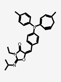 CCN1C(=O)/C(=C\c2ccc(N(C3=CC=C(C)CC#C3)c3ccc(C)cc3)cc2)O/C1=N/C(C)C